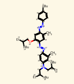 CCCCc1ccc(/N=N/c2cc(OCC(CC)CCCC)c(/N=N/c3ccc(N(CC(CC)CCCC)CC(CC)CCCC)cc3C)cc2C)cc1